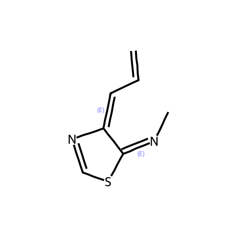 C=C/C=C1/N=CS/C1=N/C